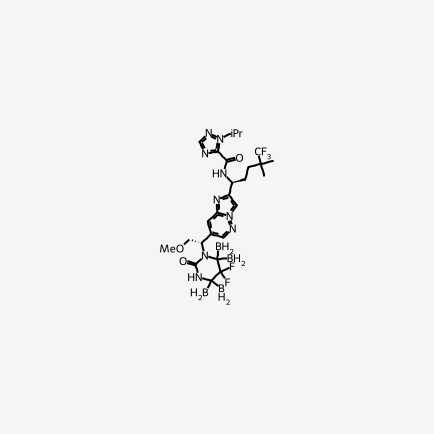 BC1(B)NC(=O)N([C@H](COC)c2cnn3cc([C@H](CCC(C)(C)C(F)(F)F)NC(=O)c4ncnn4C(C)C)nc3c2)C(B)(B)C1(F)F